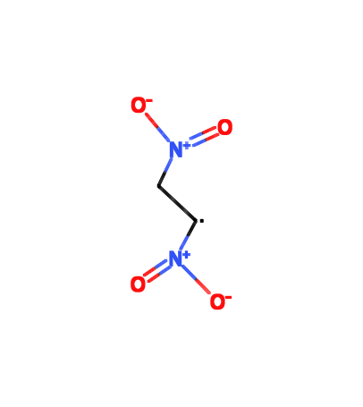 O=[N+]([O-])[CH]C[N+](=O)[O-]